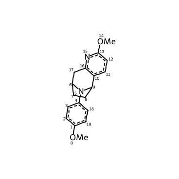 COc1ccc(N2C3CCC2c2ccc(OC)nc2C3)cc1